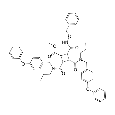 CCCN(Cc1ccc(Oc2ccccc2)cc1)C(=O)C1C(C(=O)NOCc2ccccc2)C(C(=O)OC)C1C(=O)N(CCC)Cc1ccc(Oc2ccccc2)cc1